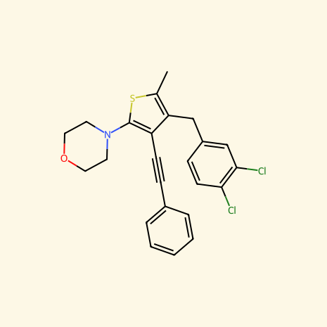 Cc1sc(N2CCOCC2)c(C#Cc2ccccc2)c1Cc1ccc(Cl)c(Cl)c1